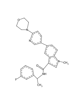 CC(NC(=O)c1cn(C)c2ccc(-c3ccc(N4CCOCC4)nc3)cc12)c1cccc(F)c1